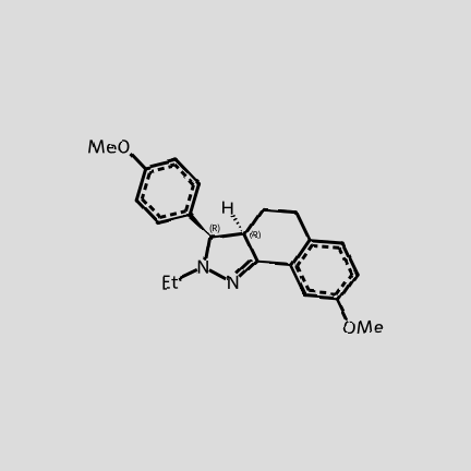 CCN1N=C2c3cc(OC)ccc3CC[C@@H]2[C@@H]1c1ccc(OC)cc1